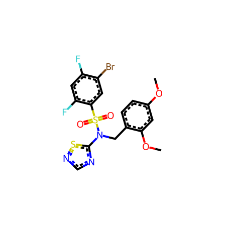 COc1ccc(CN(c2ncns2)S(=O)(=O)c2cc(Br)c(F)cc2F)c(OC)c1